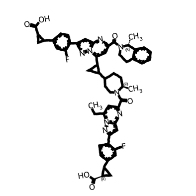 CCc1cc(C(=O)N2CCC(C3CC3c3cc(C(=O)N4CCc5ccccc5[C@H]4C)nc4cc(-c5ccc(C6CC6C(=O)O)cc5F)nn34)CC[C@H]2C)nc2cc(-c3ccc(C4C[C@H]4C(=O)O)cc3F)nn12